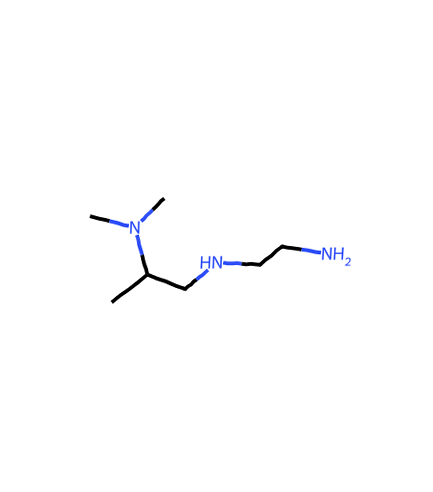 CC(CNCCN)N(C)C